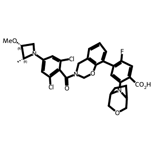 CO[C@@H]1CN(c2cc(Cl)c(C(=O)N3COc4c(cccc4-c4cc(N5C6CCC5COC6)c(C(=O)O)cc4F)C3)c(Cl)c2)[C@@H]1C